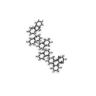 c1ccc2c(c1)sc1c(-c3ccc(-c4ccc(-c5ccc(-c6ccc7c8ccccc8c8nccnc8c7c6)c6ccccc56)c5ccccc45)c4ccccc34)cccc12